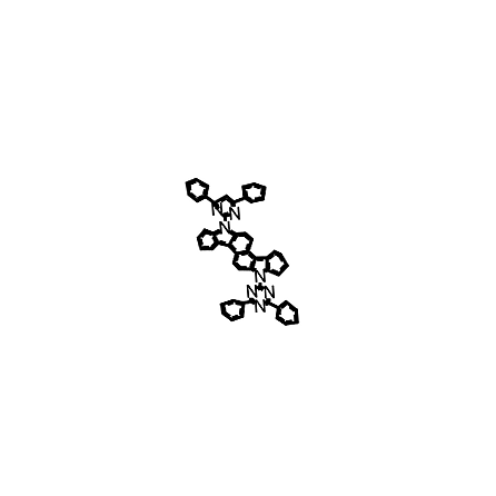 c1ccc(-c2cc(-c3ccccc3)nc(-n3c4ccccc4c4c5ccc6c(c5ccc43)c3ccccc3n6-c3nc(-c4ccccc4)nc(-c4ccccc4)n3)n2)cc1